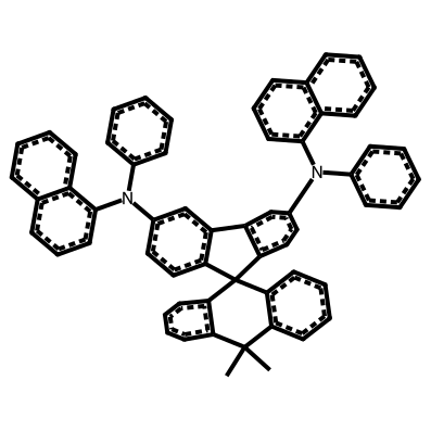 CC1(C)c2ccccc2C2(c3ccc(N(c4ccccc4)c4cccc5ccccc45)cc3-c3cc(N(c4ccccc4)c4cccc5ccccc45)ccc32)c2ccccc21